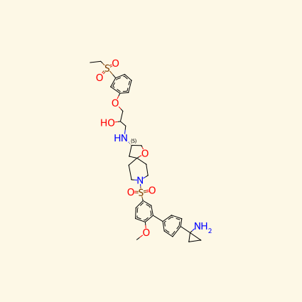 CCS(=O)(=O)c1cccc(OCC(O)CN[C@@H]2COC3(CCN(S(=O)(=O)c4ccc(OC)c(-c5ccc(C6(N)CC6)cc5)c4)CC3)C2)c1